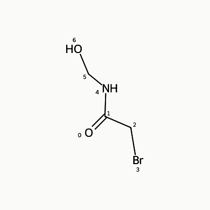 O=C(CBr)NCO